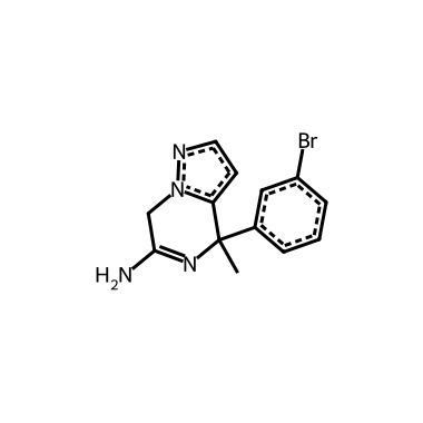 CC1(c2cccc(Br)c2)N=C(N)Cn2nccc21